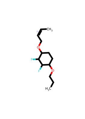 C/C=C\COC1CCC(OCCC)C(F)C1F